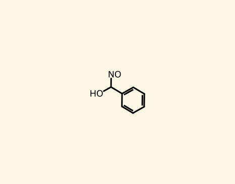 O=NC(O)c1ccccc1